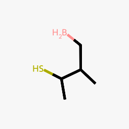 BCC(C)C(C)S